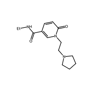 CCNC(=O)c1ccc(=O)n(CCN2CCCC2)c1